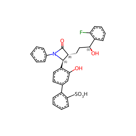 O=C1[C@H](CC[C@H](O)c2ccccc2F)[C@@H](c2ccc(-c3ccccc3S(=O)(=O)O)cc2O)N1c1ccccc1